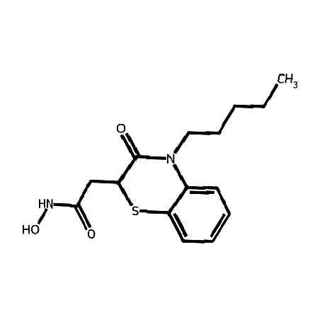 CCCCCN1C(=O)C(CC(=O)NO)Sc2ccccc21